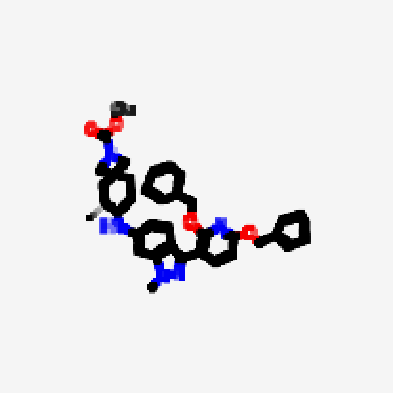 C[C@@H]1CC2(CC[C@H]1Nc1ccc3c(-c4ccc(OCc5ccccc5)nc4OCc4ccccc4)nn(C)c3c1)CN(C(=O)OC(C)(C)C)C2